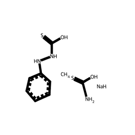 C.NC(O)=S.OC(=S)NNc1ccccc1.[NaH]